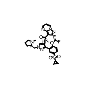 CN1CCC[C@@H]1Cn1cc(NC(=O)c2cnn3cccnc23)c(-c2cc(S(=O)(=O)C3CC3)ccc2OC(F)F)n1